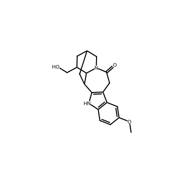 COc1ccc2[nH]c3c(c2c1)CC(=O)N1CC2CC(CO)C1C3C2